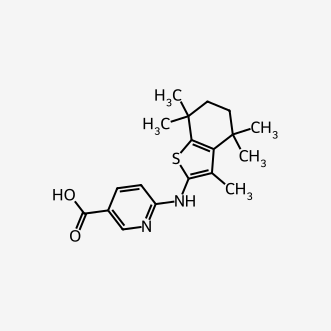 Cc1c(Nc2ccc(C(=O)O)cn2)sc2c1C(C)(C)CCC2(C)C